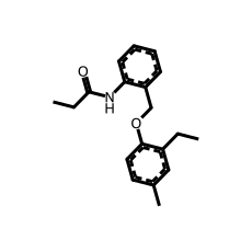 CCC(=O)Nc1ccccc1COc1ccc(C)cc1CC